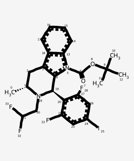 C[C@@H]1Cc2c(n(C(=O)OC(C)(C)C)c3ccccc23)[C@@H](c2c(F)cc(I)cc2F)N1CC(F)F